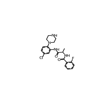 CC(NC(=O)c1ccccc1F)C(=O)Nc1cc(Cl)ccc1N1CCNCC1